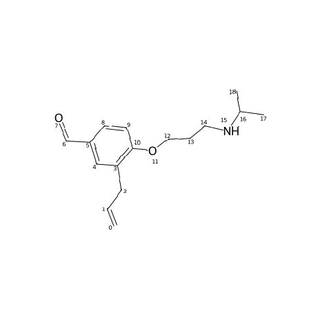 C=CCc1cc(C=O)ccc1OCCCNC(C)C